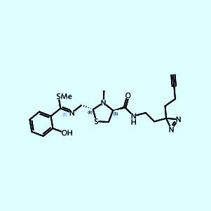 C#CCCC1(CCNC(=O)[C@H]2CS[C@H](C/N=C(\SC)c3ccccc3O)N2C)N=N1